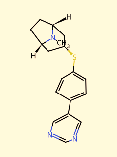 CN1[C@@H]2CC[C@H]1C[C@H](Sc1ccc(-c3cncnc3)cc1)C2